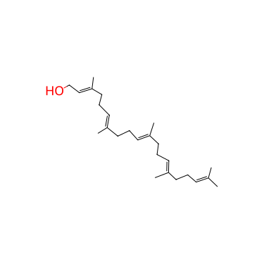 CC(C)=CCCC(C)=CCCC(C)=CCCC(C)=CCCC(C)=CCO